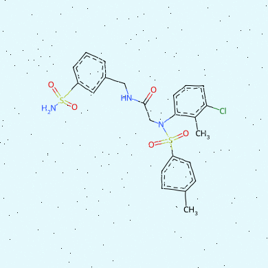 Cc1ccc(S(=O)(=O)N(CC(=O)NCc2cccc(S(N)(=O)=O)c2)c2cccc(Cl)c2C)cc1